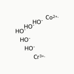 [Co+2].[Cr+3].[OH-].[OH-].[OH-].[OH-].[OH-]